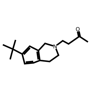 CC(=O)CCN1CCc2ccc(C(C)(C)C)cc2C1